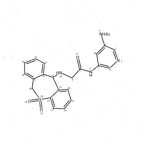 CC(=O)Nc1cncc(NC(=O)CNC2c3ccccc3CS(=O)(=O)c3ccccc32)c1